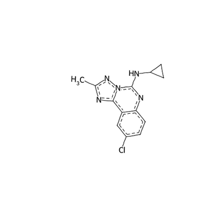 Cc1nc2c3cc(Cl)ccc3nc(NC3CC3)n2n1